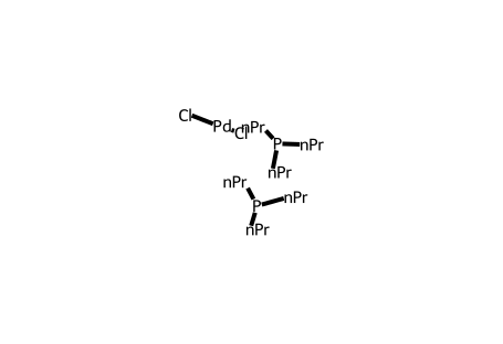 CCCP(CCC)CCC.CCCP(CCC)CCC.[Cl][Pd][Cl]